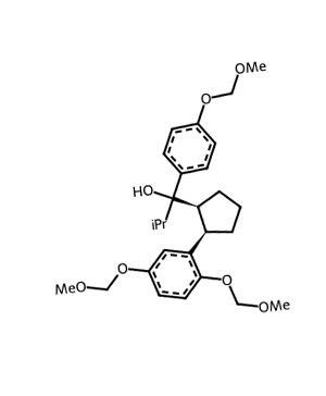 COCOc1ccc(C(O)(C(C)C)[C@H]2CCC[C@H]2c2cc(OCOC)ccc2OCOC)cc1